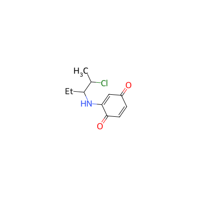 CCC(NC1=CC(=O)C=CC1=O)C(C)Cl